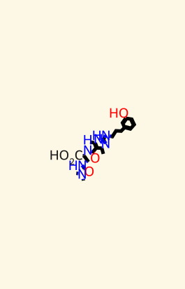 Cc1nc(NCCCc2cccc(O)c2)nc(C)c1C(=O)NC(CNC(=O)N(C)C)C(=O)O